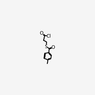 Cc1ccc(C(=O)SCCC(=O)Cl)cc1